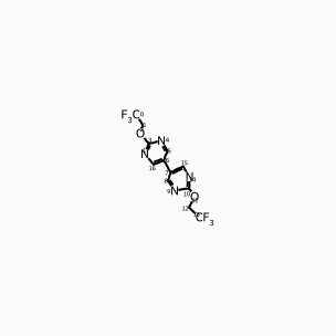 FC(F)(F)COc1ncc(-c2cnc(OCC(F)(F)F)nc2)cn1